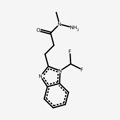 CN(N)C(=O)CCc1nc2ccccc2n1C(F)F